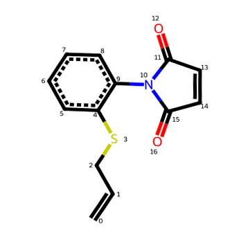 C=CCSc1ccccc1N1C(=O)C=CC1=O